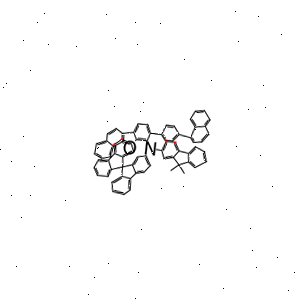 CC1(C)c2ccccc2-c2ccc(N(c3ccc4c(c3)C3(c5ccccc5-c5ccccc53)c3ccccc3-4)c3c(-c4ccc(-c5cccc6ccccc56)cc4)ccc4c3oc3c5ccccc5ccc43)cc21